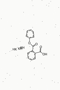 O=C(O)c1ccccc1C(=O)Oc1ccccc1.[KH].[KH].[KH]